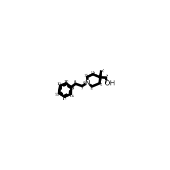 CC1(CO)CCN(CCc2ccccc2)CC1